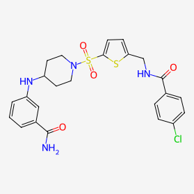 NC(=O)c1cccc(NC2CCN(S(=O)(=O)c3ccc(CNC(=O)c4ccc(Cl)cc4)s3)CC2)c1